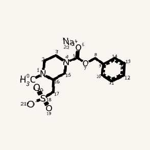 CN1CCN(C(=O)OCc2ccccc2)CC1CS(=O)(=O)[O-].[Na+]